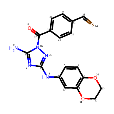 Nc1nc(Nc2ccc3c(c2)OCCO3)nn1C(=O)c1ccc(C=S)cc1